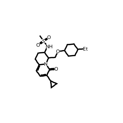 CCC1CCC(OCC2C(NS(C)(=O)=O)CCc3ccc(C4CC4)c(=O)n32)CC1